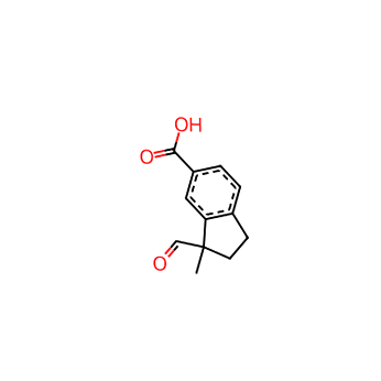 CC1(C=O)CCc2ccc(C(=O)O)cc21